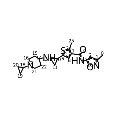 Cc1cc(NC(=O)c2cc(C3CC3NC3CCN(C4CC4)CC3)sc2C)on1